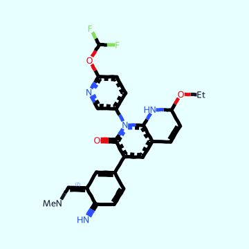 CCOC1C=Cc2cc(C3=C/C(=C/NC)C(=N)C=C3)c(=O)n(-c3ccc(OC(F)F)nc3)c2N1